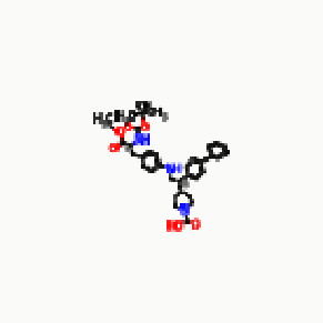 CCOC(=O)[C@H](Cc1ccc(NC[C@@H](c2ccc(-c3ccccc3)cc2)C2CCN(C(=O)O)CC2)cc1)NC(=O)OC(C)(C)C